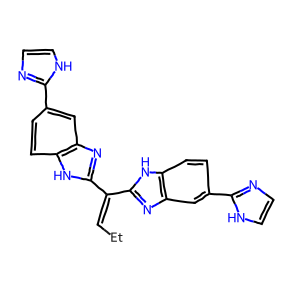 CCC=C(c1nc2cc(-c3ncc[nH]3)ccc2[nH]1)c1nc2cc(-c3ncc[nH]3)ccc2[nH]1